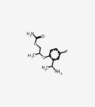 CC(COC(N)=O)Oc1ccc(F)cc1C(C)N